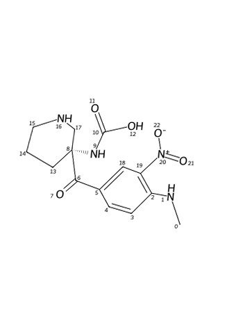 CNc1ccc(C(=O)[C@@]2(NC(=O)O)CCCNC2)cc1[N+](=O)[O-]